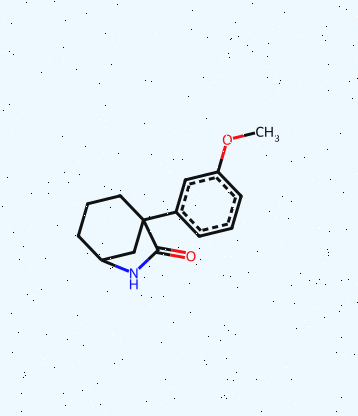 COc1cccc(C23CCCC(C2)NC3=O)c1